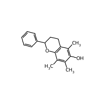 Cc1c(C)c2c(c(C)c1O)CCC(c1ccccc1)O2